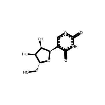 O=c1[nH]c(=O)c([C@H]2O[C@H](CO)[C@@H](O)[C@H]2O)co1